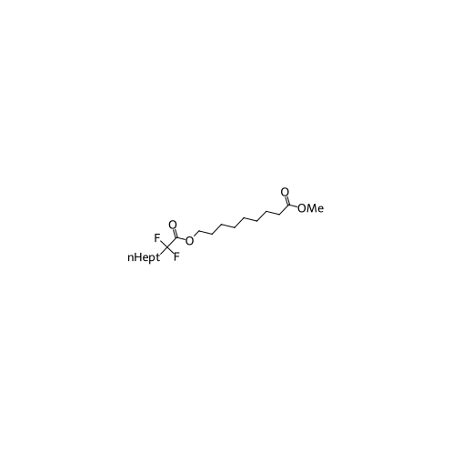 CCCCCCCC(F)(F)C(=O)OCCCCCCCCC(=O)OC